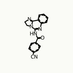 N#Cc1ccc(C(=O)NC2=Nc3ccccc3C3=NCCN23)cc1